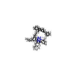 CCCCC1=C(c2cc(C)cc(C)c2)[N+](=[N-])C(c2cc(CCCC)cc(CCCC)c2)=C1CCCC.c1ccc(C[CH2][Pd][CH2]Cc2ccccc2)cc1